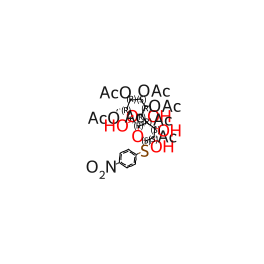 CC(=O)OC[C@H]1O[C@@H]([C@@]2(O)[C@@H](C(O)C(C)=O)O[C@@H](Sc3ccc([N+](=O)[O-])cc3)[C@@](O)(C(C)=O)[C@]2(O)C(C)=O)[C@H](OC(C)=O)[C@@H](OC(C)=O)[C@@H]1OC(C)=O